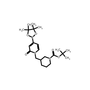 CC(C)(C)OC(=O)N1CCCC(Cn2ccc(B3OC(C)(C)C(C)(C)O3)cc2=O)C1